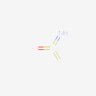 N=S(=O)=S